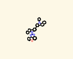 c1ccc(-n2c3ccc(-c4ccc5c(c4)c4ccc6ccccc6c4n5-c4nc5c6c(cccc6n4)Oc4ccccc4-5)cc3c3ccc4ccccc4c32)cc1